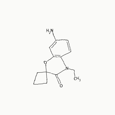 CCN1C(=O)C2(CCC2)Oc2cc(N)ccc21